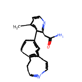 Cc1ccnc(C(N)=O)c1-c1ccc2c(c1)C=CN=CC2